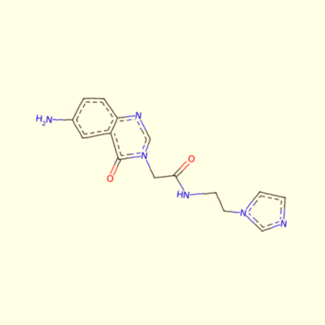 Nc1ccc2ncn(CC(=O)NCCn3ccnc3)c(=O)c2c1